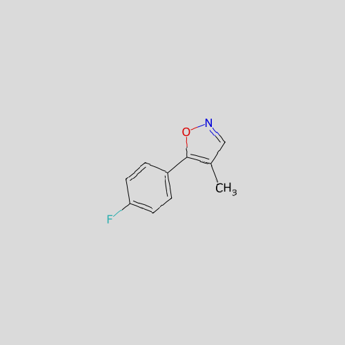 Cc1cnoc1-c1ccc(F)cc1